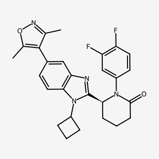 Cc1noc(C)c1-c1ccc2c(c1)nc([C@@H]1CCCC(=O)N1c1ccc(F)c(F)c1)n2C1CCC1